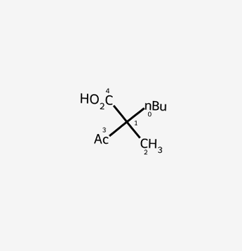 CCCCC(C)(C(C)=O)C(=O)O